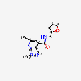 CC(C)c1cc(C(=O)NCC2CCCO2)c2cnn(C(C)C)c2n1